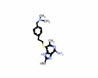 CCCCc1nc2c(N)nc(C)c(SCCc3ccc(CN(C)C)cc3)c2[nH]1